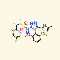 COc1cccc(OC)c1-n1c(NS(=O)(=O)[C@@H](C)[C@@H](C)c2ncc(F)cn2)nnc1-c1nc(C)cs1